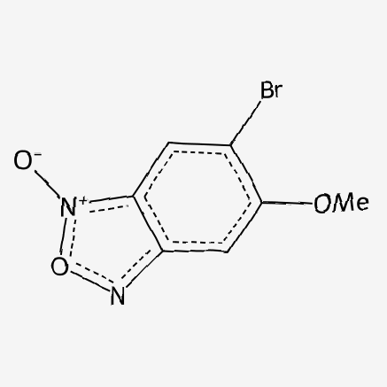 COc1cc2no[n+]([O-])c2cc1Br